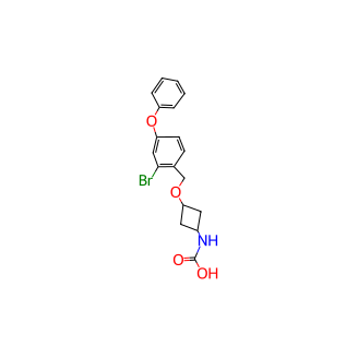 O=C(O)NC1CC(OCc2ccc(Oc3ccccc3)cc2Br)C1